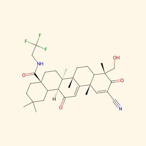 CC1(C)CC[C@]2(C(=O)NCC(F)(F)F)CC[C@]3(C)[C@@H](C(=O)C=C4[C@@]5(C)C=C(C#N)C(=O)[C@@](C)(CO)C5CC[C@]43C)C2C1